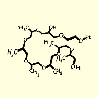 CCOCCOCC(O)COC(C)COC(C)COC(C)COC(C)COC(C)COC(C)CO